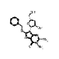 Nc1nc2c(nc(OCc3ccccc3)n2[C@@H]2O[C@H](CO)C[C@H]2O)c(=O)n1N